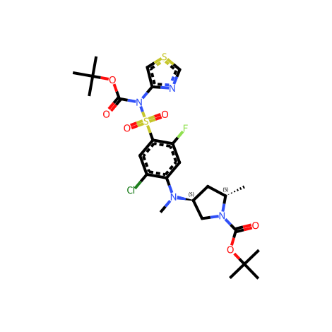 C[C@H]1C[C@H](N(C)c2cc(F)c(S(=O)(=O)N(C(=O)OC(C)(C)C)c3cscn3)cc2Cl)CN1C(=O)OC(C)(C)C